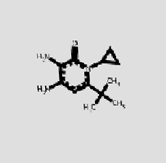 CC(C)(C)c1cc(N)c(N)c(=O)n1C1CC1